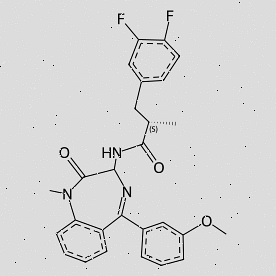 COc1cccc(C2=NC(NC(=O)[C@@H](C)Cc3ccc(F)c(F)c3)C(=O)N(C)c3ccccc32)c1